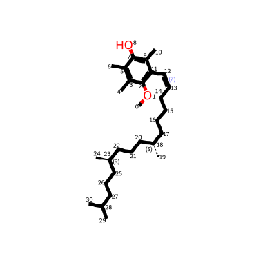 COc1c(C)c(C)c(O)c(C)c1/C=C\CCCC[C@H](C)CCC[C@H](C)CCCC(C)C